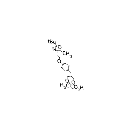 Cc1oc(C(C)(C)C)nc1CCOc1ccc(C[C@H]2CO[C@](C)(C(=O)O)OC2)cc1